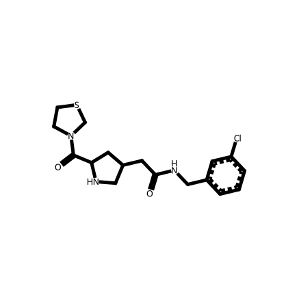 O=C(CC1CNC(C(=O)N2CCSC2)C1)NCc1cccc(Cl)c1